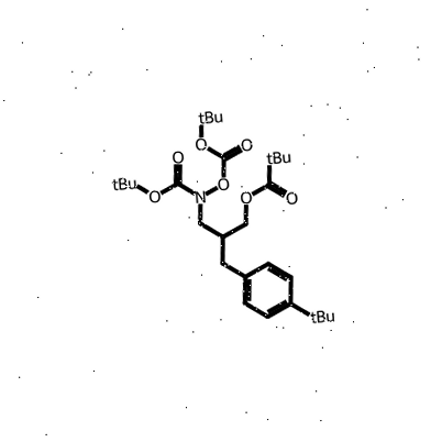 CC(C)(C)OC(=O)ON(CC(COC(=O)C(C)(C)C)Cc1ccc(C(C)(C)C)cc1)C(=O)OC(C)(C)C